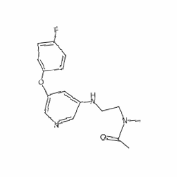 CC(=O)N(C)CCNc1cncc(Oc2ccc(F)cc2)c1